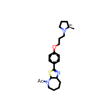 CC(=O)N1CCCCC2N=C(c3ccc(OCCCN4CCC[C@H]4C)cc3)SC21